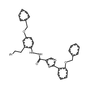 CC(C)CCc1cc(OCc2ccccc2)ccc1NNC(=O)c1csc(-c2ccccc2OCc2ccccc2)n1